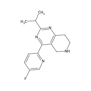 CC(C)c1nc2c(c(-c3ccc(F)cn3)n1)CNCC2